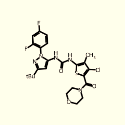 Cc1c(NC(=O)Nc2cc(C(C)(C)C)nn2-c2ccc(F)cc2F)sc(C(=O)N2CCOCC2)c1Cl